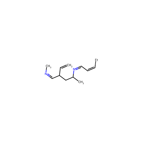 C=CC(/C=N\C)CC(C)/N=C\C=C/CC